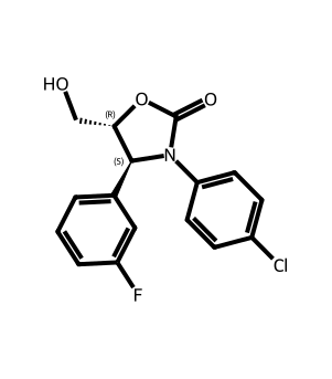 O=C1O[C@@H](CO)[C@H](c2cccc(F)c2)N1c1ccc(Cl)cc1